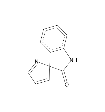 O=C1Nc2ccccc2C12C=CC=N2